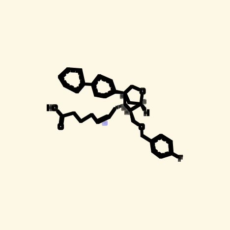 O=C(O)CCC/C=C\C[C@H]1[C@H](COCc2ccc(F)cc2)[C@@H]2C[C@@]1(c1ccc(-c3ccccc3)cc1)CO2